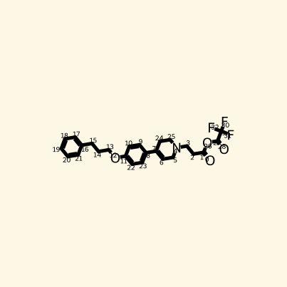 O=C(CCN1CC=C(c2ccc(OCCCc3ccccc3)cc2)CC1)OC(=O)C(F)(F)F